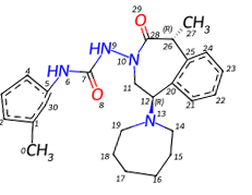 Cc1cccc(NC(=O)NN2C[C@H](N3CCCCCC3)c3ccccc3[C@@H](C)C2=O)c1